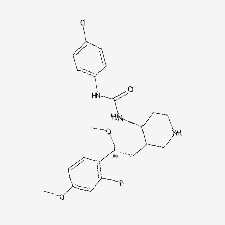 COc1ccc([C@@H](CC2CNCCC2NC(=O)Nc2ccc(Cl)cc2)OC)c(F)c1